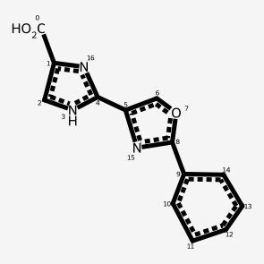 O=C(O)c1c[nH]c(-c2coc(-c3ccccc3)n2)n1